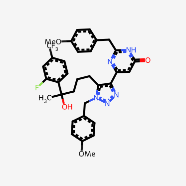 COc1ccc(Cc2nc(-c3nnn(Cc4ccc(OC)cc4)c3CCCC(C)(O)c3ccc(C(F)(F)F)cc3F)cc(=O)[nH]2)cc1